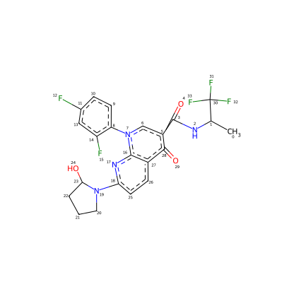 CC(NC(=O)c1cn(-c2ccc(F)cc2F)c2nc(N3CCCC3O)ccc2c1=O)C(F)(F)F